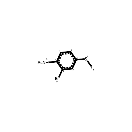 CC(=O)Nc1ccc(SI)cc1Br